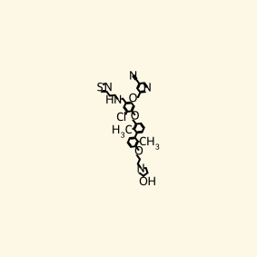 Cc1c(COc2cc(OCc3cncc(C#N)c3)c(CNCCc3cscn3)cc2Cl)cccc1-c1cccc(OCCCN2CC[C@@H](O)C2)c1C